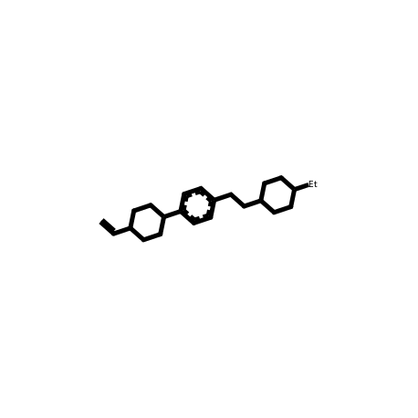 C=CC1CCC(c2ccc(CCC3CCC(CC)CC3)cc2)CC1